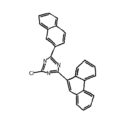 Clc1nc(-c2ccc3ccccc3c2)nc(-c2cc3ccccc3c3ccccc23)n1